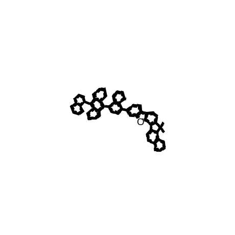 CC1(C)c2ccc3c(oc4cc(-c5ccc(-c6c7ccccc7c(-c7cccc8ccccc78)c7ccccc67)c6ccccc56)ccc43)c2-c2ccc3ccccc3c21